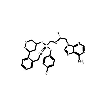 C[C@H](Cn1cnc2c(N)ncnc21)OCP(=O)(Oc1ccc(Cl)cc1)OC1CSSC(c2ccccc2CO)C1